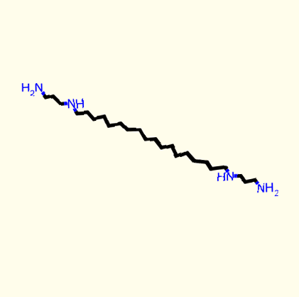 NCCCNCCCCCCCCCCCCCCCCCCNCCCN